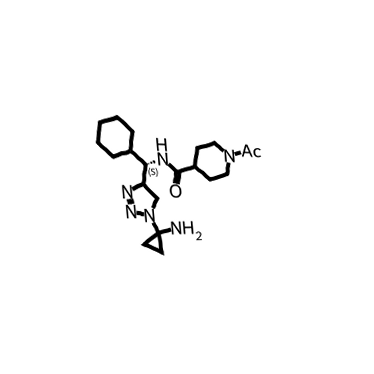 CC(=O)N1CCC(C(=O)N[C@@H](C2CCCCC2)C2CN(C3(N)CC3)N=N2)CC1